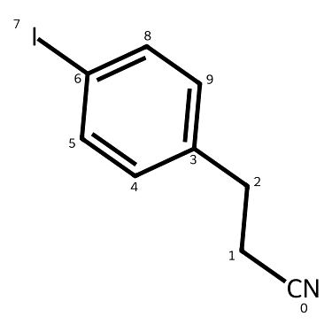 N#CCCc1ccc(I)cc1